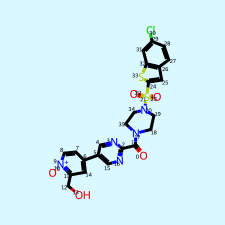 O=C(c1ncc(-c2cc[n+]([O-])c(CO)c2)cn1)N1CCN(S(=O)(=O)c2cc3ccc(Cl)cc3s2)CC1